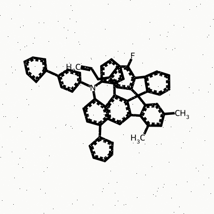 C=CCc1cc(F)c2c(c1)C1(c3ccccc3-2)c2cc(C)cc(C)c2-c2cccc(-c3ccccc3N(c3ccc(-c4ccccc4)cc3)c3ccc(-c4ccccc4)cc3)c21